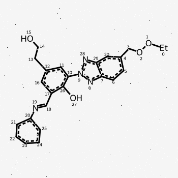 CCOOCc1ccc2nn(-c3cc(CCO)cc(C=Nc4ccccc4)c3O)nc2c1